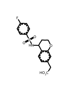 O=C(O)Cc1ccc2c(c1)OCCC2NS(=O)(=O)c1ccc(F)cc1